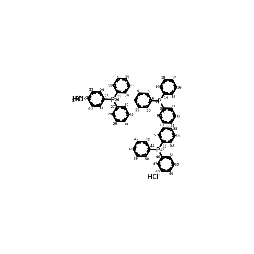 Cl.Cl.[Rh].c1ccc(P(c2ccccc2)c2ccccc2)cc1.c1ccc(P(c2ccccc2)c2ccccc2)cc1.c1ccc(P(c2ccccc2)c2ccccc2)cc1